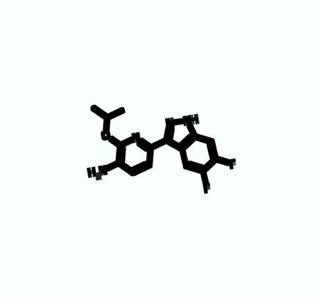 CC(C)Oc1nc(-c2n[nH]c3cc(F)c(F)cc23)ccc1N